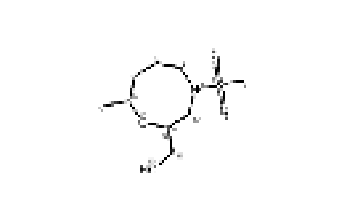 C[C@H]1CCCN(S(C)(=O)=O)C[C@@H](CO)O1